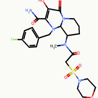 CN(C(=O)CS(=O)(=O)N1CCOCC1)C1CCCN2C(=O)C(O)=C(C(N)=O)N(Cc3ccc(F)cc3)C12